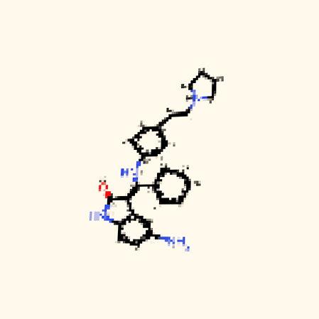 Nc1ccc2c(c1)/C(=C(/Nc1ccc(CCN3CCCC3)cc1)c1ccccc1)C(=O)N2